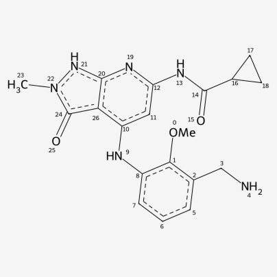 COc1c(CN)cccc1Nc1cc(NC(=O)C2CC2)nc2[nH]n(C)c(=O)c12